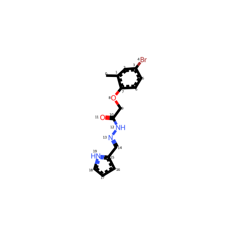 Cc1cc(Br)ccc1OCC(=O)N/N=C/c1ccc[nH]1